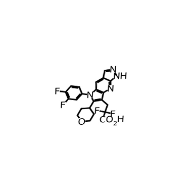 O=C(O)C(F)(F)Cc1c(C2CCOCC2)n(-c2ccc(F)c(F)c2)c2cc3cn[nH]c3nc12